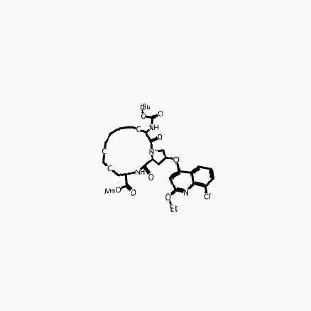 CCOc1cc(OC2CC3C(=O)NC(C(=O)OC)CCCCCCCCCC(NC(=O)OC(C)(C)C)C(=O)[N+]3C2)c2cccc(Cl)c2n1